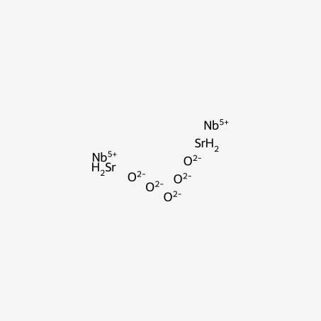 [Nb+5].[Nb+5].[O-2].[O-2].[O-2].[O-2].[O-2].[SrH2].[SrH2]